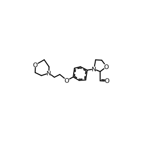 O=CC1OCCN1c1ccc(OCCN2CCOCC2)cc1